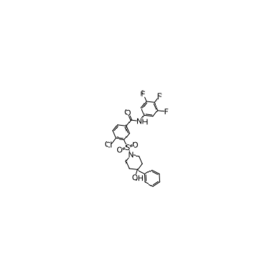 O=C(Nc1cc(F)c(F)c(F)c1)c1ccc(Cl)c(S(=O)(=O)N2CCC(O)(c3ccccc3)CC2)c1